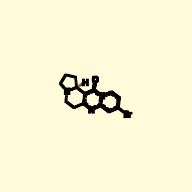 O=c1c2c(nc3cc(Br)ccn13)CCN1CCC[C@@H]21